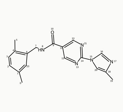 Cc1ccc(C)c(CNC(=O)c2cnc(-n3cnc(C)c3)nc2)c1